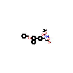 COC(=O)C[C@H](NC(=O)OC(C)(C)C)c1ccc(-c2ccc(OCc3ccccc3)c3ccccc23)cc1